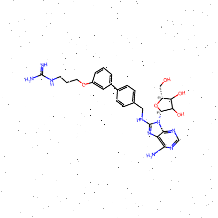 N=C(N)NCCCOc1cccc(-c2ccc(CNc3nc4c(N)ncnc4n3[C@@H]3O[C@H](CO)C(O)C3O)cc2)c1